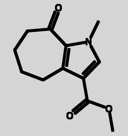 COC(=O)c1cn(C)c2c1CCCCC2=O